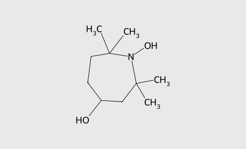 CC1(C)CCC(O)CC(C)(C)N1O